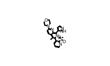 Cc1c(-c2cccnc2S(C)(=O)=O)nc(-c2ccn[nH]2)c2nc(N3CCOCC3)ccc12